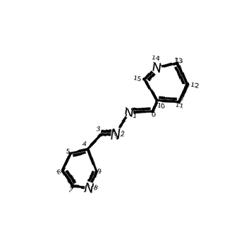 C(=NN=Cc1cccnc1)c1cccnc1